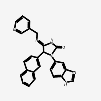 O=C1N/C(=N\Cc2cccnc2)C(c2ccc3ccccc3c2)N1c1ccc2[nH]cnc2c1